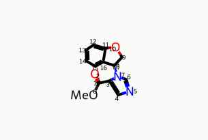 COC(=O)c1cncn1[C@@H]1COc2ccccc21